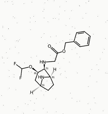 O=C(CN[C@H]1[C@H]2CC[C@@H](C[C@H]1OC(F)F)N2)OCc1ccccc1